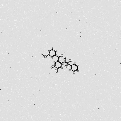 CO[n+]1cccc(C(=O)c2cc(C)c(C)cc2NS(=O)(=O)c2ccccc2)c1